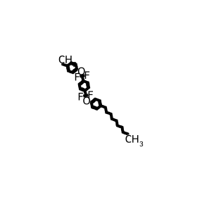 CCCCCCCCCCc1ccc(OC(F)(F)c2ccc(C(F)(F)Oc3ccc(CC)cc3)cc2)cc1